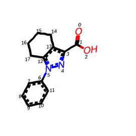 O=C(O)c1nn(-c2ccccc2)c2c1CCCC2